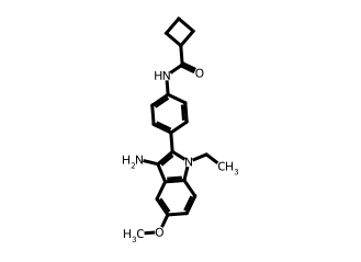 CCn1c(-c2ccc(NC(=O)C3CCC3)cc2)c(N)c2cc(OC)ccc21